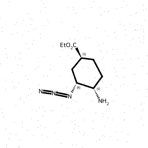 CCOC(=O)[C@H]1CC[C@H](N)[C@H](N=[N+]=[N-])C1